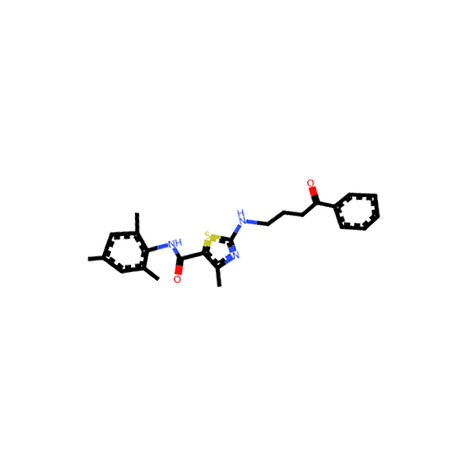 Cc1cc(C)c(NC(=O)c2sc(NCCCC(=O)c3ccccc3)nc2C)c(C)c1